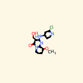 COc1cccn2c(=O)c(CO)c(Nc3ccnc(Cl)c3)nc12